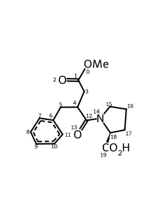 COC(=O)CC(Cc1ccccc1)C(=O)N1CCC[C@H]1C(=O)O